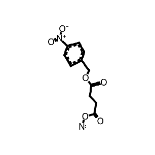 [N]OC(=O)CCC(=O)OCc1ccc([N+](=O)[O-])cc1